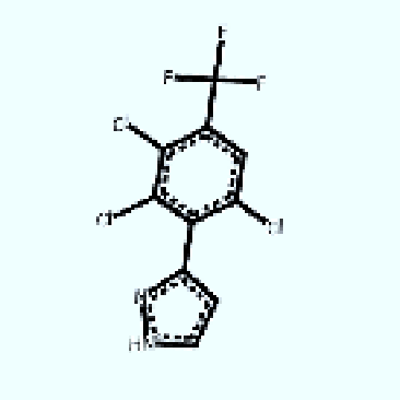 FC(F)(F)c1cc(Cl)c(-c2cc[nH]n2)c(Cl)c1Cl